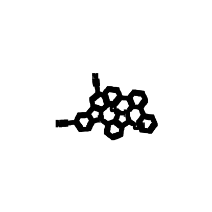 N#Cc1ccc2c(c1)c1cc(C#N)ccc1n2-c1cccc2c1C(=O)N(c1c(-c3ccccc3)cccc1-c1ccccc1)C2O